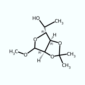 COC1O[C@H](C(C)O)[C@H]2OC(C)(C)O[C@@H]12